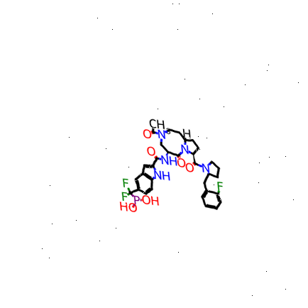 CC(=O)N1CC[C@H]2CC[C@@H](C(=O)N3CCCC3Cc3ccccc3F)N2C(=O)[C@@H](NC(=O)c2cc3cc(C(F)(F)P(O)O)ccc3[nH]2)C1